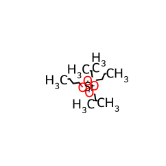 CCCCO[Si](OCCCC)(OCC(C)C)OCC(C)C